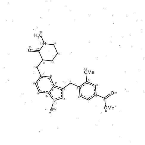 CCCn1cc(Cc2ccc(C(=O)OC)cc2OC)c2cc(CC3CCCN(C)C3=O)ccc21